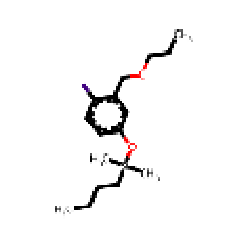 CCCC[Si](C)(C)Oc1ccc(I)c(COCCC)c1